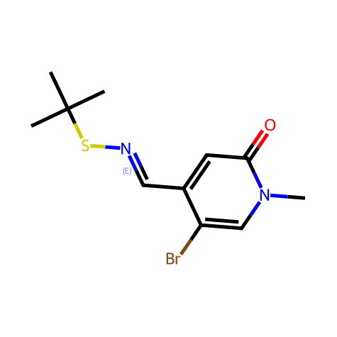 Cn1cc(Br)c(/C=N/SC(C)(C)C)cc1=O